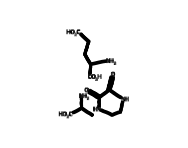 CC(N)C(=O)O.NC(CCC(=O)O)C(=O)O.O=C1NCCNC1=O